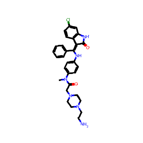 CN(C(=O)CN1CCN(CCN)CC1)c1ccc(N/C(=C2\C(=O)Nc3cc(Cl)ccc32)c2ccccc2)cc1